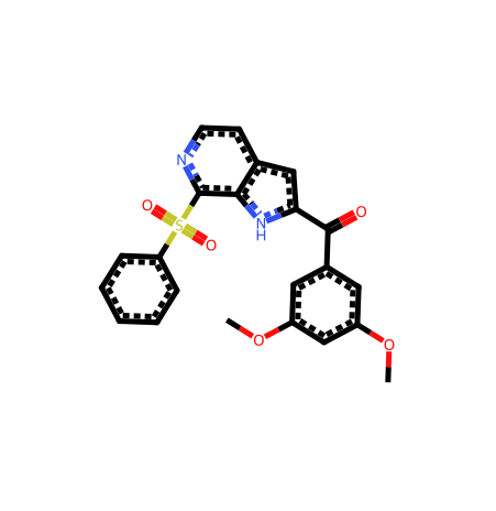 COc1cc(OC)cc(C(=O)c2cc3ccnc(S(=O)(=O)c4ccccc4)c3[nH]2)c1